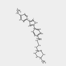 COc1ccc(-c2noc(-c3ccc(NCCCN4CCC(C)CC4)nn3)n2)cc1